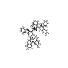 c1ccc2c(c1)cc(-c1nc(-c3cc(-n4c5ccc6ccccc6c5c5c6ccccc6ccc54)cc4c3sc3ccccc34)nc3ccccc13)c1sc3ccccc3c12